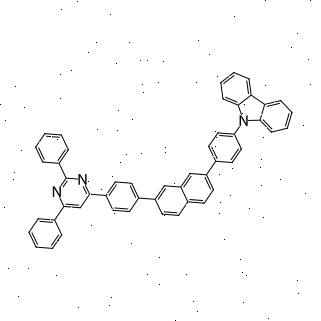 c1ccc(-c2cc(-c3ccc(-c4ccc5ccc(-c6ccc(-n7c8ccccc8c8ccccc87)cc6)cc5c4)cc3)nc(-c3ccccc3)n2)cc1